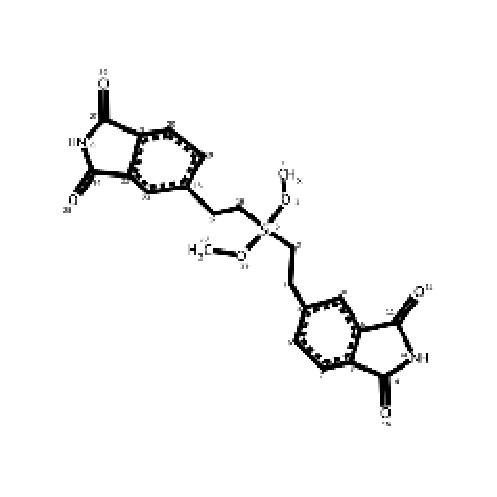 CO[Si](CCc1ccc2c(c1)C(=O)NC2=O)(CCc1ccc2c(c1)C(=O)NC2=O)OC